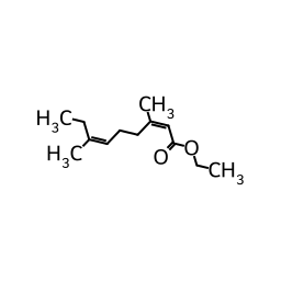 CCOC(=O)C=C(C)CCC=C(C)CC